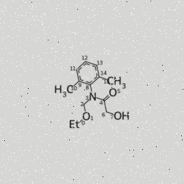 CCOCN(C(=O)CO)c1c(C)cccc1C